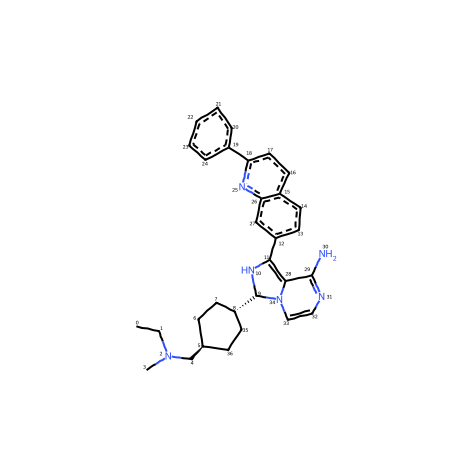 CCN(C)C[C@H]1CC[C@H](C2NC(c3ccc4ccc(-c5ccccc5)nc4c3)=C3C(N)=NC=CN32)CC1